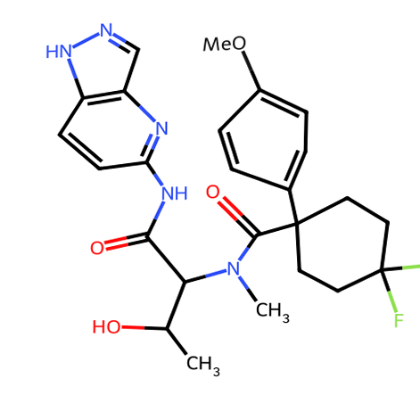 COc1ccc(C2(C(=O)N(C)C(C(=O)Nc3ccc4[nH]ncc4n3)C(C)O)CCC(F)(F)CC2)cc1